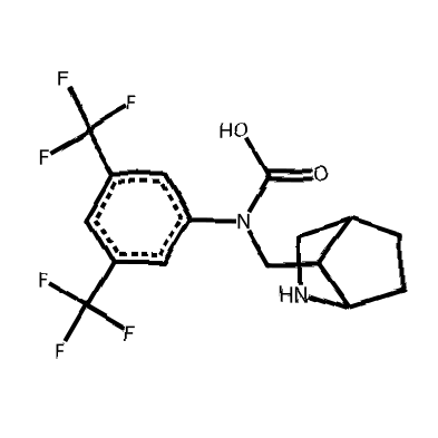 O=C(O)N(CC1C2CCC1NC2)c1cc(C(F)(F)F)cc(C(F)(F)F)c1